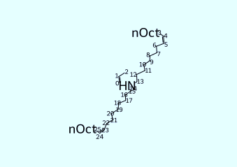 C=CC.CCCCCCCC/C=C\CCCCCCCCNCCCCCCCC/C=C\CCCCCCCC